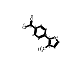 Cc1ccsc1-c1ccc(C(=O)Cl)cc1